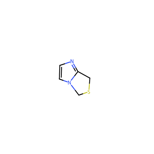 c1cn2c(n1)CSC2